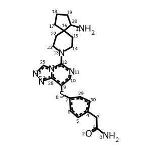 NC(=O)Cc1ccc(Sc2cnc(N3CCC4(CCCC4N)CC3)n3cnnc23)cc1